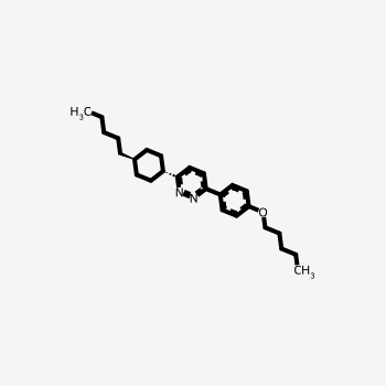 CCCCCOc1ccc(-c2ccc([C@H]3CC[C@H](CCCCC)CC3)nn2)cc1